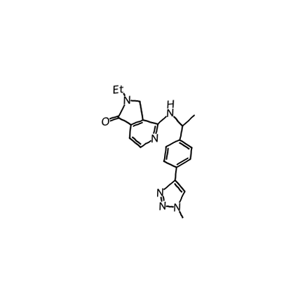 CCN1Cc2c(ccnc2NC(C)c2ccc(-c3cn(C)nn3)cc2)C1=O